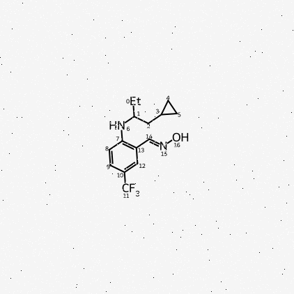 CCC(CC1CC1)Nc1ccc(C(F)(F)F)cc1C=NO